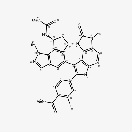 CNC(=O)c1ccc(-c2[nH]c3ncc4c(c3c2-c2ccc3c(cnn3C(C)C)c2)n([C@@H]2CC[C@@H](NC(=O)OC)C2)c(=O)n4C)cc1F